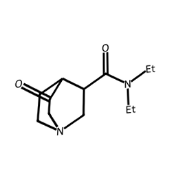 CCN(CC)C(=O)C1CN2CCC1C(=O)C2